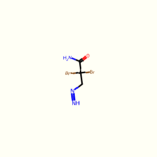 N=NCC(Br)(Br)C(N)=O